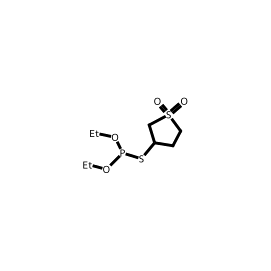 CCOP(OCC)SC1CCS(=O)(=O)C1